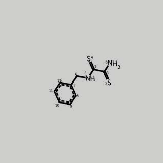 NC(=S)C(=S)NCc1ccccc1